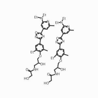 CCc1cc(-c2noc(-c3cc(C)nc(N(CC)CC)c3)n2)cc(C)c1OCC(O)CNC(=O)CO.CCc1cc(-c2noc(-c3cc(C)nc(N(CC)CC)c3)n2)cc(C)c1OCC(O)CNC(=O)CO